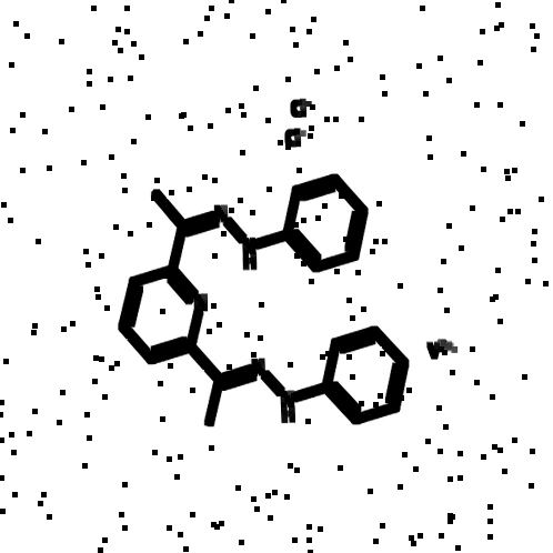 CC(=NNc1ccccc1)c1cccc(C(C)=NNc2ccccc2)n1.[Cl-].[Cl-].[V+2]